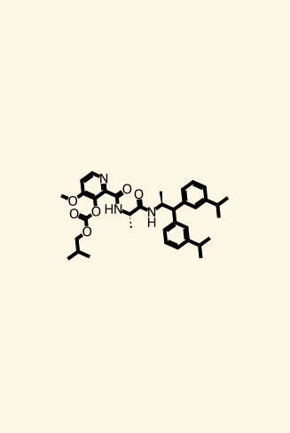 COc1ccnc(C(=O)N[C@@H](C)C(=O)N[C@@H](C)C(c2cccc(C(C)C)c2)c2cccc(C(C)C)c2)c1OC(=O)OCC(C)C